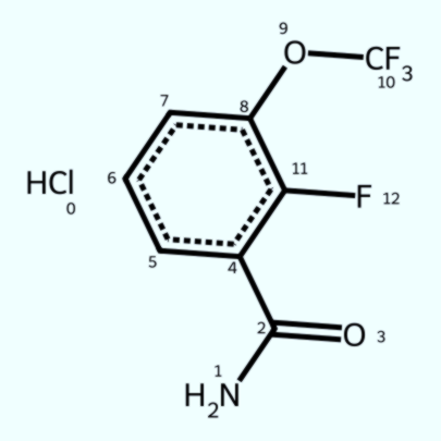 Cl.NC(=O)c1cccc(OC(F)(F)F)c1F